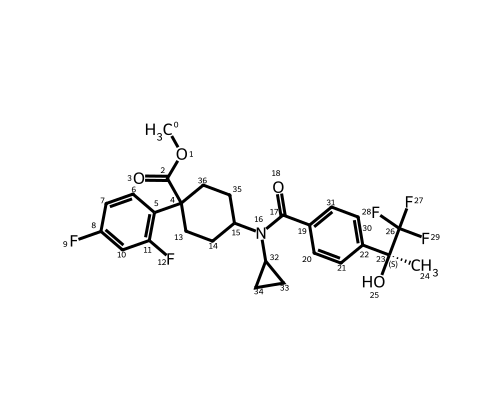 COC(=O)C1(c2ccc(F)cc2F)CCC(N(C(=O)c2ccc([C@](C)(O)C(F)(F)F)cc2)C2CC2)CC1